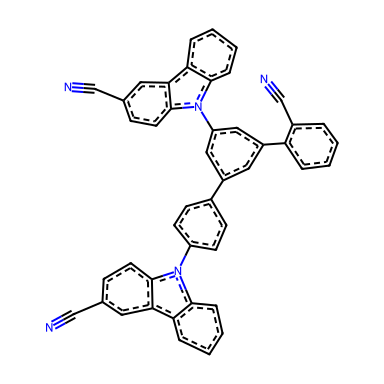 N#Cc1ccc2c(c1)c1ccccc1n2-c1ccc(-c2cc(-c3ccccc3C#N)cc(-n3c4ccccc4c4cc(C#N)ccc43)c2)cc1